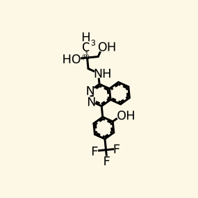 C[C@](O)(CO)CNc1nnc(-c2ccc(C(F)(F)F)cc2O)c2ccccc12